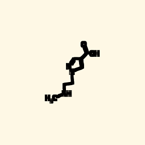 CNCCn1cc(C(=O)O)cn1